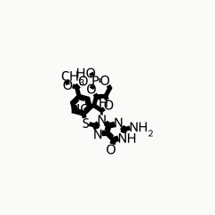 COC(=O)c1ccc(Sc2nc3c(=O)[nH]c(N)nc3n2[C@@H]2OC3COP(O)O[C@H]3C2O)cc1